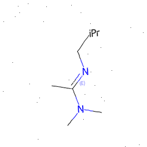 C/C(=N\CC(C)C)N(C)C